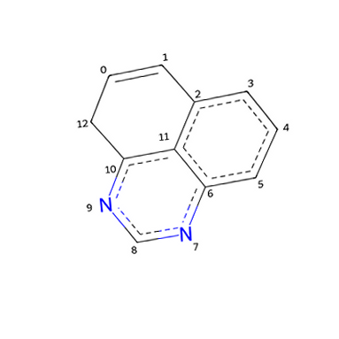 C1=Cc2cccc3ncnc(c23)C1